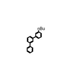 CCCCc1cccc(-c2cccc(-c3ccccc3)c2)c1